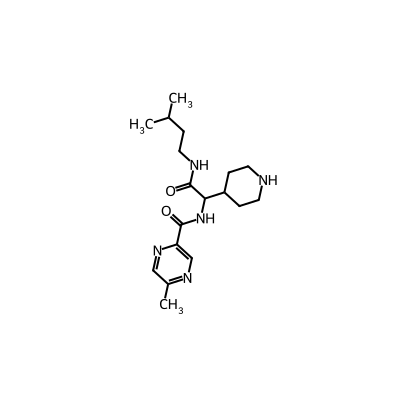 Cc1cnc(C(=O)NC(C(=O)NCCC(C)C)C2CCNCC2)cn1